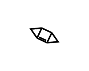 C1C2=C3CC3C12